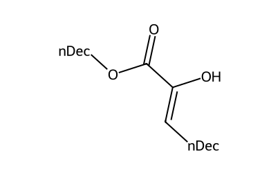 CCCCCCCCCCC=C(O)C(=O)OCCCCCCCCCC